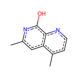 Cc1cc2c(C)ccnc2c(O)n1